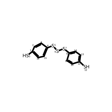 Sc1ccc(SSSc2ccc(S)cc2)cc1